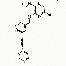 Nc1ncc(Br)nc1OCc1ccnc(C#Cc2ccncc2)c1